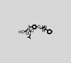 CC(C)COC(=O)N(CC(=O)O)[C@@H](C)c1ccc(OCc2noc(-c3ccccc3)n2)cc1